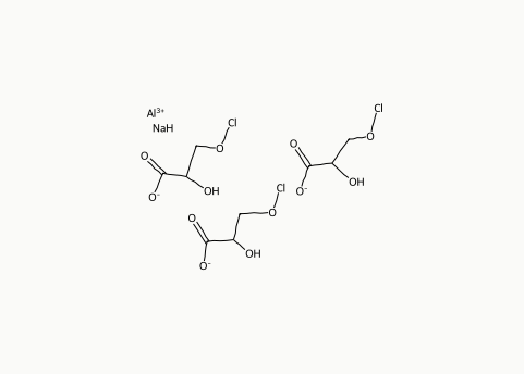 O=C([O-])C(O)COCl.O=C([O-])C(O)COCl.O=C([O-])C(O)COCl.[Al+3].[NaH]